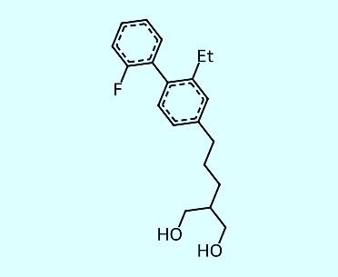 CCc1cc(CCCC(CO)CO)ccc1-c1ccccc1F